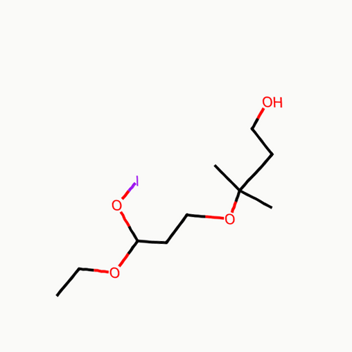 CCOC(CCOC(C)(C)CCO)OI